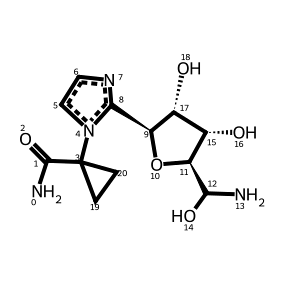 NC(=O)C1(n2ccnc2[C@@H]2O[C@H](C(N)O)[C@@H](O)[C@H]2O)CC1